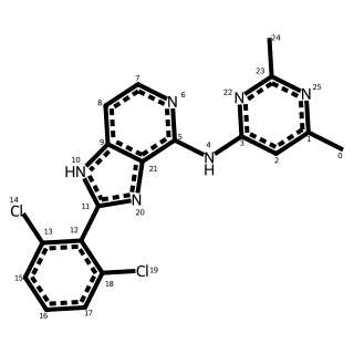 Cc1cc(Nc2nccc3[nH]c(-c4c(Cl)cccc4Cl)nc23)nc(C)n1